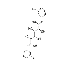 OC(=Cc1cccc(Cl)c1)C(O)C(O)C(O)C(O)C(O)=Cc1cccc(Cl)c1